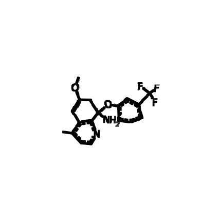 COC1=Cc2c(C)ccnc2C(N)(Oc2cccc(C(F)(F)F)c2)C1